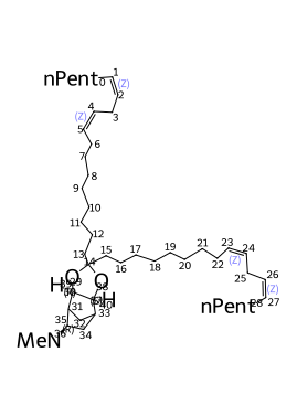 CCCCC/C=C\C/C=C\CCCCCCCCC1(CCCCCCCC/C=C\C/C=C\CCCCC)O[C@@H]2C3CC(C[C@H]3NC)[C@@H]2O1